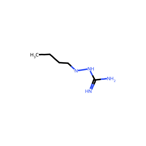 CCCC[N]NC(=N)N